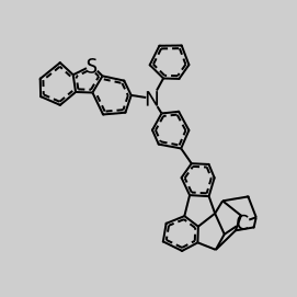 c1ccc(N(c2ccc(-c3ccc4c(c3)-c3cccc5c3C43C4CC6CC(C4)C5C3C6)cc2)c2ccc3c(c2)sc2ccccc23)cc1